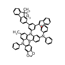 Cc1cc2c3c(c1)N(c1ccccc1)c1cc4c(cc1B3c1ccc(N(c3ccccc3)c3ccccc3)cc1N2c1cc(-c2ccc3c(c2)C(C)(C)c2ccccc2-3)cc(-c2cc3ccccc3o2)c1)OCO4